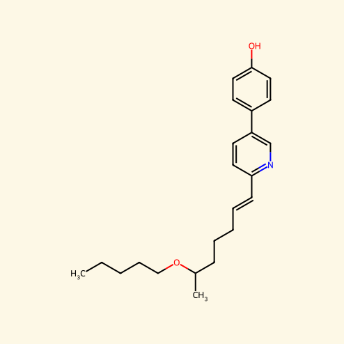 CCCCCOC(C)CCCC=Cc1ccc(-c2ccc(O)cc2)cn1